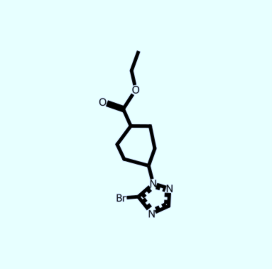 CCOC(=O)C1CCC(n2ncnc2Br)CC1